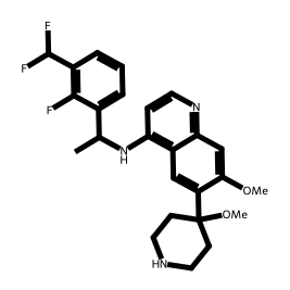 COc1cc2nccc(NC(C)c3cccc(C(F)F)c3F)c2cc1C1(OC)CCNCC1